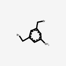 Bc1cc(CBr)cc(CBr)c1